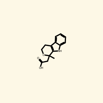 CC1(CC(=O)O)OCCc2c1[nH]c1ccccc21